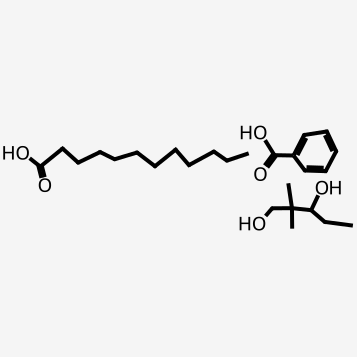 CCC(O)C(C)(C)CO.CCCCCCCCCCCC(=O)O.O=C(O)c1ccccc1